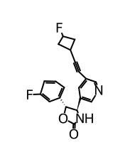 O=C1N[C@H](c2cncc(C#CC3CC(F)C3)c2)[C@@H](c2cccc(F)c2)O1